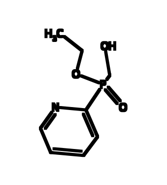 CCOP(=O)(CO)c1ccccn1